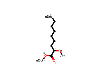 CCCCCCCCCCCCCCCCC(OCC)C(=O)OCCCCCCCC